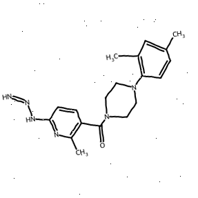 Cc1ccc(N2CCN(C(=O)c3ccc(NN=N)nc3C)CC2)c(C)c1